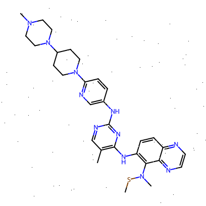 CSN(C)c1c(Nc2nc(Nc3ccc(N4CCC(N5CCN(C)CC5)CC4)nc3)ncc2C)ccc2nccnc12